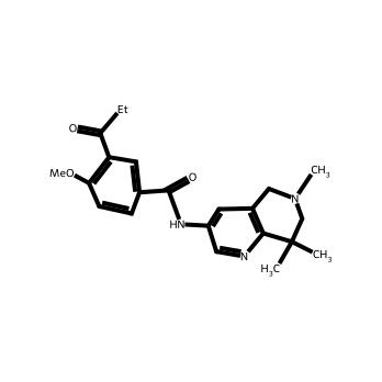 CCC(=O)c1cc(C(=O)Nc2cnc3c(c2)CN(C)CC3(C)C)ccc1OC